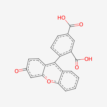 O=C(O)c1ccc(-c2c3ccc(=O)cc-3oc3ccccc23)c(C(=O)O)c1